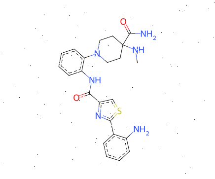 CNC1(C(N)=O)CCN(c2ccccc2NC(=O)c2csc(-c3ccccc3N)n2)CC1